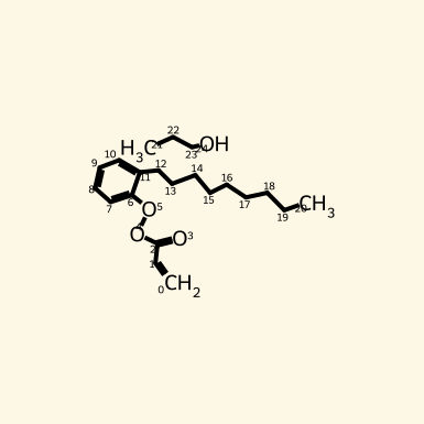 C=CC(=O)OOc1ccccc1CCCCCCCCC.CCCO